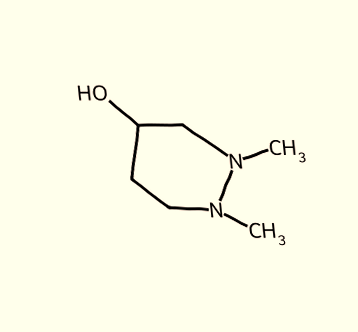 CN1CCC(O)CN1C